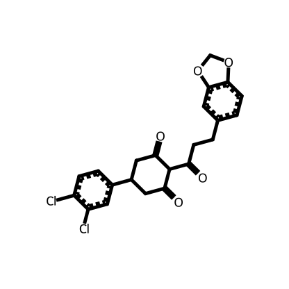 O=C(CCc1ccc2c(c1)OCO2)C1C(=O)CC(c2ccc(Cl)c(Cl)c2)CC1=O